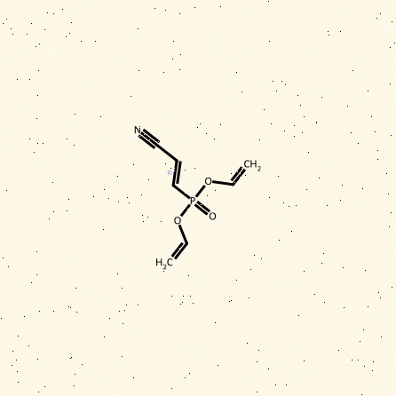 C=COP(=O)(/C=C/C#N)OC=C